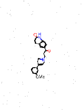 COc1cccc(C2=CCN(CCC(=O)c3ccc4c(c3)CCC(=O)N4)CC2)c1